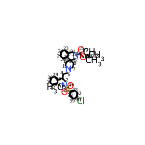 CN(CC(CCN1CCC2(CC1)CN(C(=O)OC(C)(C)C)Cc1ccccc12)c1ccccc1)S(=O)(=O)c1ccc(Cl)cc1